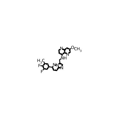 COc1cnc2c(NCc3cnc4ccc(-c5cc(C)c(F)c(F)c5)nn34)ccnc2c1